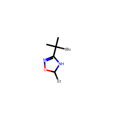 CCC1NC(C(C)(C)C(C)(C)C)=NO1